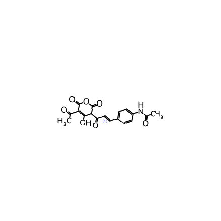 CC(=O)Nc1ccc(/C=C/C(=O)C2C(=O)OC(=O)C(C(C)=O)=C2O)cc1